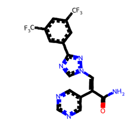 NC(=O)/C(=C/n1cnc(-c2cc(C(F)(F)F)cc(C(F)(F)F)c2)n1)c1cncnc1